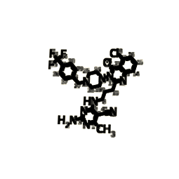 Cc1nc(N)nc(NCCCc2nc3cccc(Cl)c3c(=O)n2N2CCN(Cc3ccc(C(F)(F)F)cc3)CC2)c1C#N